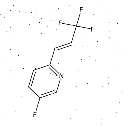 Fc1ccc(C=CC(F)(F)F)nc1